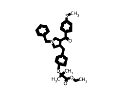 CCOC(=O)C(C)(C)Oc1ccc(CC2CN(Cc3ccccc3)CC2C(=O)c2ccc(SC)cc2)cc1